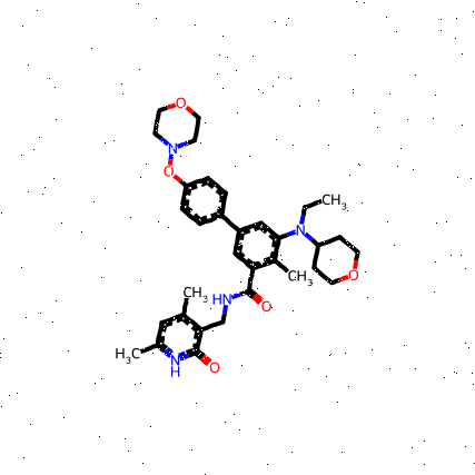 CCN(c1cc(-c2ccc(ON3CCOCC3)cc2)cc(C(=O)NCc2c(C)cc(C)[nH]c2=O)c1C)C1CCOCC1